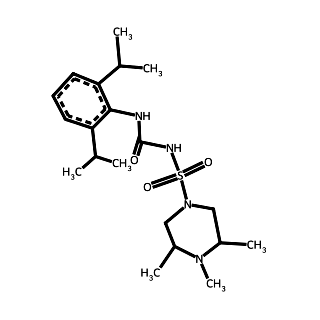 CC(C)c1cccc(C(C)C)c1NC(=O)NS(=O)(=O)N1CC(C)N(C)C(C)C1